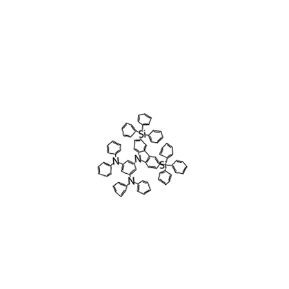 c1ccc(N(c2ccccc2)c2cc(N(c3ccccc3)c3ccccc3)cc(-n3c4ccc([Si](c5ccccc5)(c5ccccc5)c5ccccc5)cc4c4cc([Si](c5ccccc5)(c5ccccc5)c5ccccc5)ccc43)c2)cc1